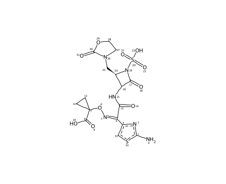 Nc1nc(/C(=N/OC2(C(=O)O)CC2)C(=O)NC2C(=O)N(S(=O)(=O)O)[C@@H]2CN2CCOC2=O)cs1